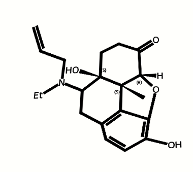 C=CCN(CC)C1Cc2ccc(O)c3c2[C@@]2(C)[C@@H](O3)C(=O)CC[C@@]12O